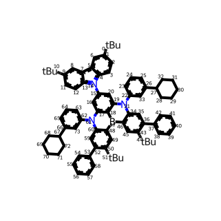 CC(C)(C)c1ccc2c(c1)c1cc(C(C)(C)C)ccc1n2-c1cc2c3c(c1)N(c1cccc(C4CCCCC4)c1)c1cc(-c4ccccc4)c(C(C)(C)C)cc1B3c1cc(C(C)(C)C)c(-c3ccccc3)cc1N2c1cccc(C2CCCCC2)c1